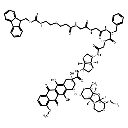 COc1cccc2c1C(=O)c1c(O)c3c(c(O)c1C2=O)C[C@@](O)(C(=O)N[C@H]1CO[C@H]2[C@@H]1OC[C@@H]2NC(=O)CNC(=O)[C@H](Cc1ccccc1)NC(=O)CNC(=O)CNC(=O)CCOCCNC(=O)OCC1c2ccccc2-c2ccccc21)C[C@@H]3O[C@H]1C[C@H]2[C@H](O[C@@H]3[C@@H](OC)OCCN32)[C@H](C)O1